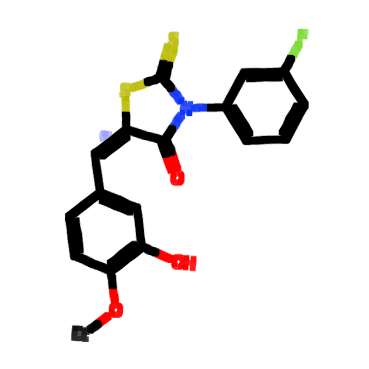 CCOc1ccc(/C=C2/SC(=S)N(c3cccc(F)c3)C2=O)cc1O